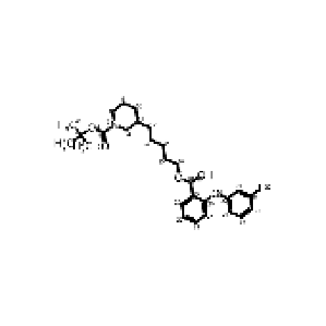 CC(C)(C)OC(=O)N1CCCC(CCCCCOC(O)c2ccccc2Oc2cccc(F)c2)C1